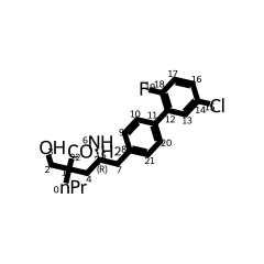 CCCC(CO)(C[C@H](N)Cc1ccc(-c2cc(Cl)ccc2F)cc1)C(=O)O